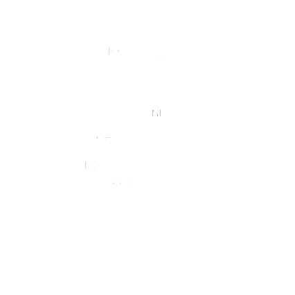 CCCCCC(Cl)NCC(=O)O.OBO